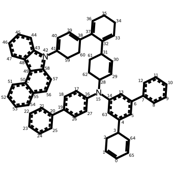 C1=CCC(c2cc(-c3ccccc3)cc(N(c3ccc(-c4ccccc4)cc3)C3C=CC(C4=CCCC=C4C4=CC=C(n5c6ccccc6c6c7ccccc7ccc65)CC4)CC3)c2)C=C1